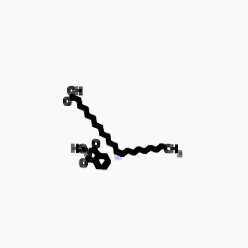 CCCCCCCC/C=C\CCCCCCCCCCCC(=O)O.O=C1c2ccccc2C(=O)N1O